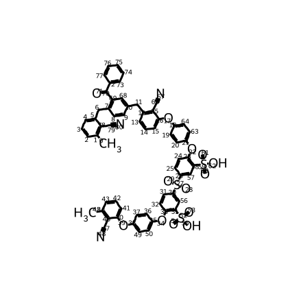 Cc1cccc(Cc2ccc(Cc3cccc(Oc4ccc(Oc5ccc(S(=O)(=O)c6ccc(Oc7ccc(Oc8cccc(C)c8C#N)cc7)c(S(=O)(=O)O)c6)cc5S(=O)(=O)O)cc4)c3C#N)cc2C(=O)c2ccccc2)c1C#N